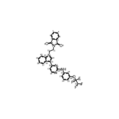 O=C1c2ccccc2C(=O)N1CCn1cc(-c2ccnc(Nc3cccc(OC(F)(F)C(F)F)c3)n2)c2ccccc21